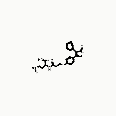 C[S+]([O-])CCC(NC(=O)CCSc1ccc(C2=C(c3ccccc3)C(=O)OC2)cc1)C(=O)O